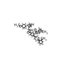 COc1ccc(-c2c[nH]nc2CNC(=O)c2ccc(N3CCN(c4ccccc4C)CC3)c(NC(=O)c3ccc(C)o3)c2)cc1